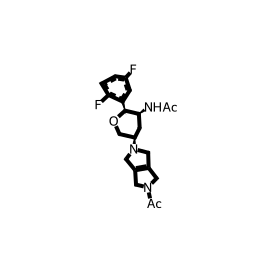 CC(=O)N[C@H]1C[C@@H](N2CC3=C(CN(C(C)=O)C3)C2)CO[C@H]1c1cc(F)ccc1F